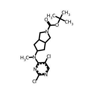 CN(c1nc(Cl)ncc1Cl)C1CC2CN(C(=O)OC(C)(C)C)CC2C1